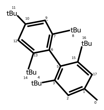 Cc1cc(C(C)(C)C)c(-c2c(C(C)(C)C)[c]c(C(C)(C)C)cc2C(C)(C)C)c(C(C)(C)C)c1